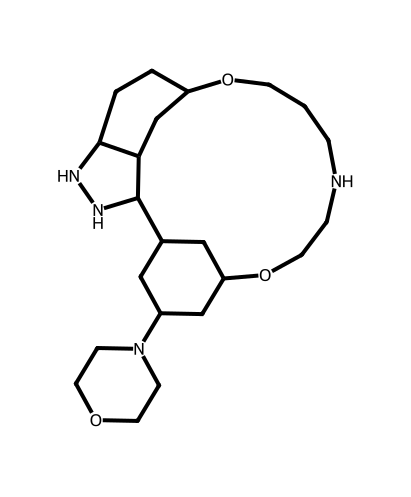 C1CNCCOC2CC(CC(N3CCOCC3)C2)C2NNC3CCC(CC32)OC1